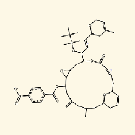 C=C1CC(C)CC2CC=CC(C/C=C\C(=O)OC(C(/C=C/C3CC(C)=CCO3)O[Si](C)(C)C(C)(C)C)CC3OC3C(OC(=O)c3ccc([N+](=O)[O-])cc3)C1)O2